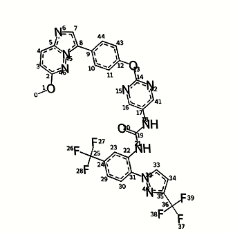 COc1ccc2ncc(-c3ccc(Oc4ncc(NC(=O)Nc5cc(C(F)(F)F)ccc5-n5ccc(C(F)(F)F)n5)cn4)cc3)n2n1